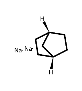 C1C[C@H]2CC[C@@H]1C2.[Na].[Na]